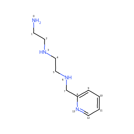 NCCNCCNCc1ccccn1